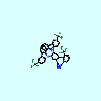 N#Cc1cc(-n2c3ccccc3c3cc(C(F)(F)F)ccc32)c(-n2c3ccccc3c3cc(C(F)(F)F)ccc32)cc1-c1c(C#N)cccc1C(F)(F)F